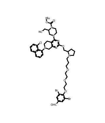 CC(C)(C)OC(=O)N1CCN(c2nc(OCC3CCCN3CCCOCCOCCOc3c(Br)cc(C=O)cc3Br)nc3c2CCN(c2cccc4cccc(Cl)c24)C3)CC1CC#N